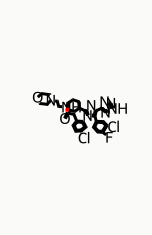 O=C(Cc1ccc(Cl)cc1-n1c(C2CCCCC2)nc(-c2nn[nH]n2)c1-c1ccc(F)c(Cl)c1)NCCN1CCOCC1